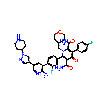 NC(=O)c1c(-c2ccc(-c3cc(-c4cnn(C5CCNCC5)c4)cnc3N)c(F)c2)n(CC2CCOCC2)c(C(N)=O)c(-c2ccc(F)cc2)c1=O